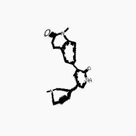 CN1C=C(c2c[nH]c(=O)c(-c3ccc4c(c3)CC(=O)N4C)c2)C=CC1